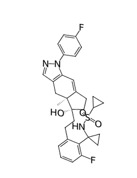 C[C@]12Cc3cnn(-c4ccc(F)cc4)c3C=C1CC[C@@]2(O)CCc1cccc(F)c1C1(NS(=O)(=O)C2CC2)CC1